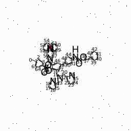 Cc1ccc(S(=O)(=O)Oc2c(CN(Cc3ccccn3)Cc3ccccn3)cc(-c3ccc(NC(=O)OCc4ccccc4)cc3)cc2CN(Cc2ccccn2)Cc2ccccn2)cc1